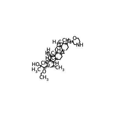 CCO[C@@H]([C@H]1C[C@@H](C)[C@H]2[C@H](O1)[C@H](O)[C@@]1(C)[C@@H]3CC[C@H]4C(C)(C)[C@@H](O[C@H]5CNCCO5)CC[C@@]45C[C@@]35CC[C@]21C)C(C)(C)O